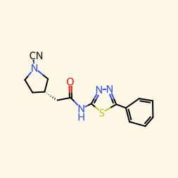 N#CN1CC[C@@H](CC(=O)Nc2nnc(-c3ccccc3)s2)C1